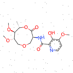 COc1ccnc(C(=O)N[C@H]2COC[C@H](OC)[C@@H](OC)[C@H](C)OC2=O)c1O